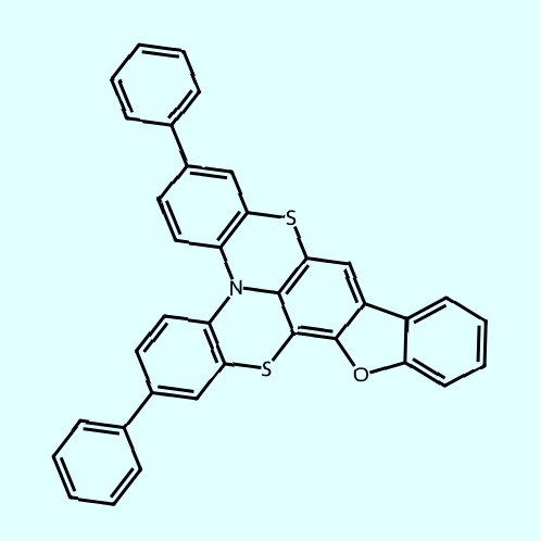 c1ccc(-c2ccc3c(c2)Sc2cc4c(oc5ccccc54)c4c2N3c2ccc(-c3ccccc3)cc2S4)cc1